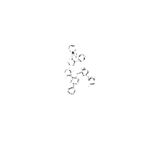 Cc1ccc(-c2ccc3c(c2)c2ccccc2n3C2=CC=CCC2)cc1C1C=C(c2ccccc2)C=CC1Cc1cccc(-c2ccccc2)c1